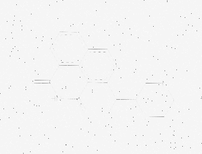 CC(c1ccc2cccc3c2c1C(=O)NC3=O)C1CNCCO1